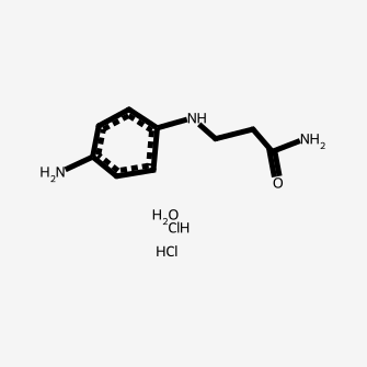 Cl.Cl.NC(=O)CCNc1ccc(N)cc1.O